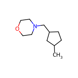 CC1CCC(CN2CCOCC2)C1